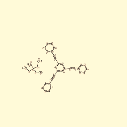 C(#Cc1cc(C#Cc2ccccc2)cc(C#Cc2ccccc2)c1)c1ccccc1.NC(CO)(CO)CO